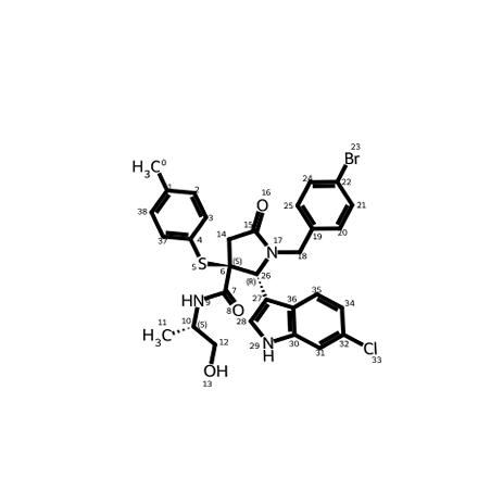 Cc1ccc(S[C@@]2(C(=O)N[C@@H](C)CO)CC(=O)N(Cc3ccc(Br)cc3)[C@@H]2c2c[nH]c3cc(Cl)ccc23)cc1